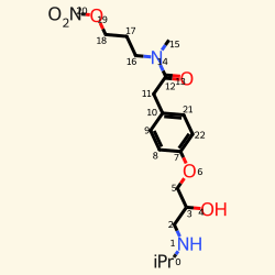 CC(C)NCC(O)COc1ccc(CC(=O)N(C)CCCO[N+](=O)[O-])cc1